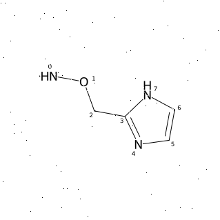 [NH]OCc1ncc[nH]1